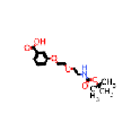 CC(C)(C)OC(=O)NCCOCCOc1cccc(C(=O)O)c1